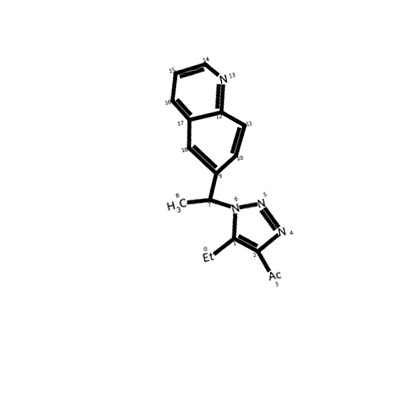 CCc1c(C(C)=O)nnn1C(C)c1ccc2ncccc2c1